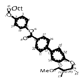 CCCCCCCCOc1ccc(OC(=O)c2ccc(-c3ccc(O[C@H](C)[C@@H](C)COC)cc3)cc2)cc1